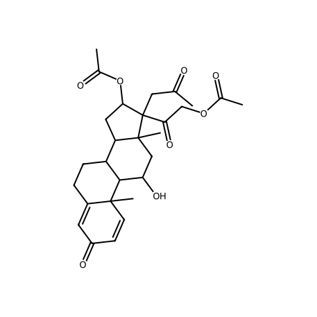 CC(=O)CC1(C(=O)COC(C)=O)C(OC(C)=O)CC2C3CCC4=CC(=O)C=CC4(C)C3C(O)CC21C